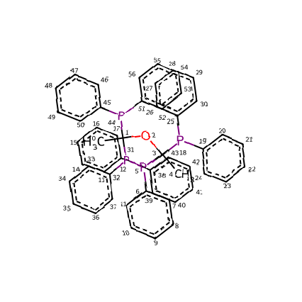 CC(OC(C)(P(c1ccccc1)c1ccccc1)P(c1ccccc1)c1ccccc1)(P(c1ccccc1)c1ccccc1)P(c1ccccc1)c1ccccc1